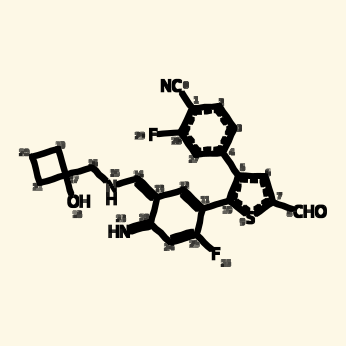 N#Cc1ccc(-c2cc(C=O)sc2C2=C/C(=C/NCC3(O)CCC3)C(=N)C=C2F)cc1F